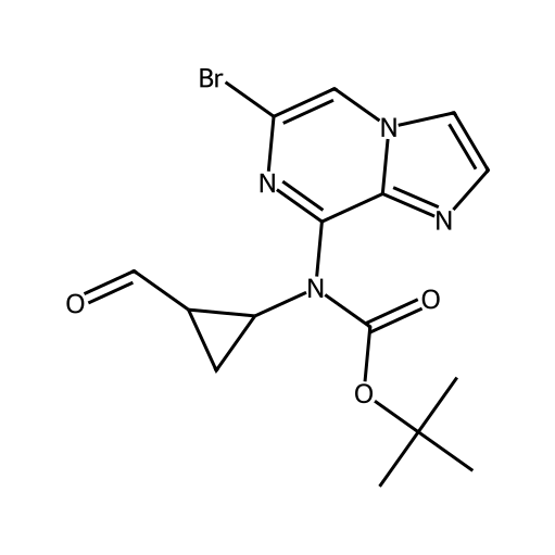 CC(C)(C)OC(=O)N(c1nc(Br)cn2ccnc12)C1CC1C=O